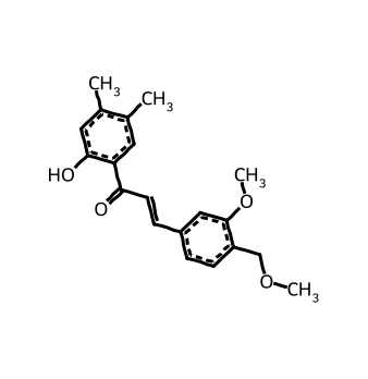 COCc1ccc(/C=C/C(=O)c2cc(C)c(C)cc2O)cc1OC